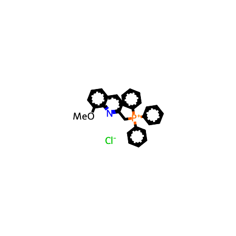 COc1cccc2ccc(C[P+](c3ccccc3)(c3ccccc3)c3ccccc3)nc12.[Cl-]